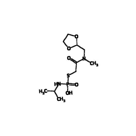 CC(C)NP(=O)(O)SCC(=O)N(C)CC1OCCO1